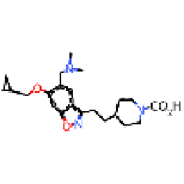 CN(C)Cc1cc2c(CCC3CCN(C(=O)O)CC3)noc2cc1OCC1CC1